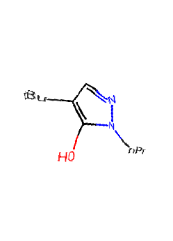 CCCn1ncc(C(C)(C)C)c1O